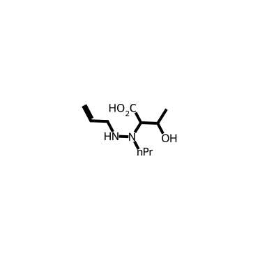 C=CCNN(CCC)C(C(=O)O)C(C)O